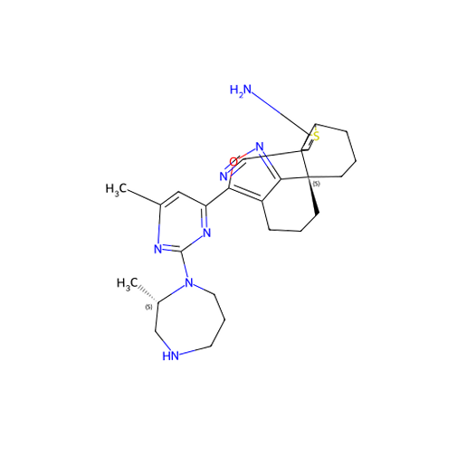 Cc1cc(-c2onc3c2CCC[C@@]32CCCc3sc(N)c(C#N)c32)nc(N2CCCNC[C@@H]2C)n1